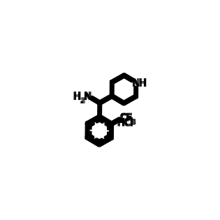 Cl.NC(c1ccccc1C(F)(F)F)C1CCNCC1